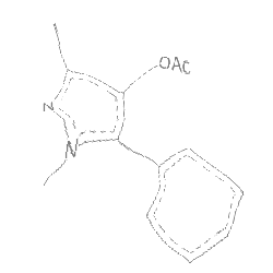 CC(=O)Oc1c(C)nn(C)c1-c1ccccc1